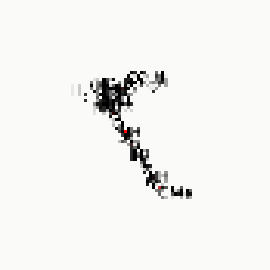 CCCC[C@H](NC(=O)[C@H](CNC(=O)CN(CC(=O)O)CC(=O)O)NC(=O)[C@H](CO)NC(=O)[C@H](CCC(N)=O)NC(=O)[C@H](CO)NC(=O)CNC(=O)COCCOCCNC(=O)COCCOCCNC(=O)COCCOCCNC(=O)COCCOC)C(C)=O